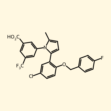 Cc1ccc(-c2cc(Cl)ccc2OCc2ccc(F)cc2)n1-c1cc(C(=O)O)cc(C(F)(F)F)c1